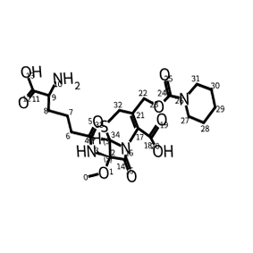 CO[C@@]1(NC(=O)CCCC(N)C(=O)O)C(=O)N2C(C(=O)O)=C(COC(=O)N3CCCCC3)CS[C@H]21